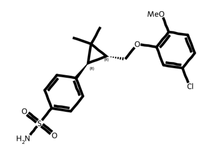 COc1ccc(Cl)cc1OC[C@@H]1[C@@H](c2ccc(S(N)(=O)=O)cc2)C1(C)C